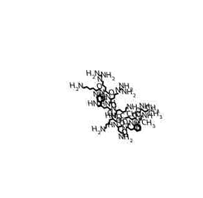 CCC(C)C(NC(=O)C(Cc1ccccc1)NC(=O)C(CC(N)=O)NC(=O)C(CCCCN)NC(=O)C(CCCCN)NC(=O)C(Cc1c[nH]c2ccccc12)NC(=O)C(CCCN=C(N)N)NC(=O)C(CCCN=C(N)N)NC(=O)C(N)CCCCN)C(=O)NC(C)C(=O)NC(C(N)=O)C(C)C